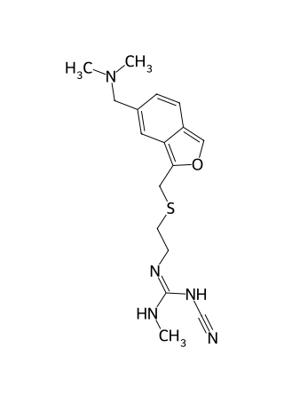 CNC(=NCCSCc1occ2ccc(CN(C)C)cc12)NC#N